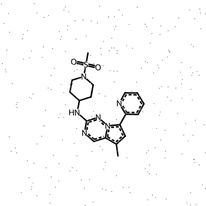 Cc1cc(-c2ccccn2)n2nc(NC3CCN(S(C)(=O)=O)CC3)ncc12